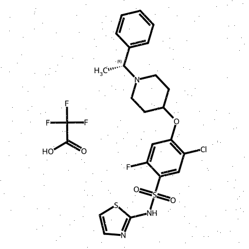 C[C@H](c1ccccc1)N1CCC(Oc2cc(F)c(S(=O)(=O)Nc3nccs3)cc2Cl)CC1.O=C(O)C(F)(F)F